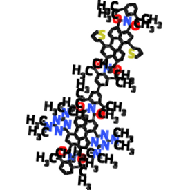 CC(C)c1cccc(C(C)C)c1N1C(=O)c2ccc3c4c(-c5nc(N(C)C)nc(N(C)C)n5)cc5c6c(ccc(c7c(-c8nc(N(C)C)nc(N(C)C)n8)cc(c2c37)C1=O)c64)C(=O)N(c1c(C(C)C)cc(-c2cc(C(C)C)c(N3C(=O)c4ccc6c7c(-c8cccs8)cc8c9c(ccc(c%10c(-c%11cccs%11)cc(c4c6%10)C3=O)c97)C(=O)N(c3c(C(C)C)cccc3C(C)C)C8=O)c(C(C)C)c2)cc1C(C)C)C5=O